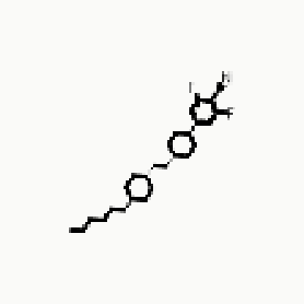 CCCCCC[C@H]1CC[C@H](CC[C@H]2CC[C@H](c3cc(F)c(C#N)c(F)c3)CC2)CC1